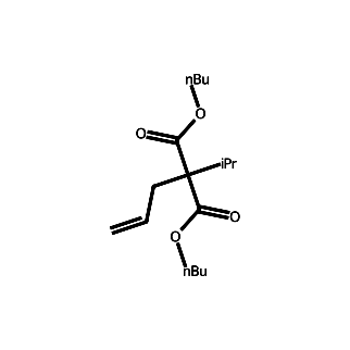 C=CCC(C(=O)OCCCC)(C(=O)OCCCC)C(C)C